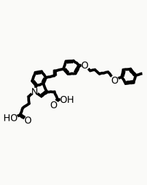 Cc1ccc(OCCCCOc2ccc(C=Cc3cccc4c3c(CC(=O)O)cn4CCCC(=O)O)cc2)cc1